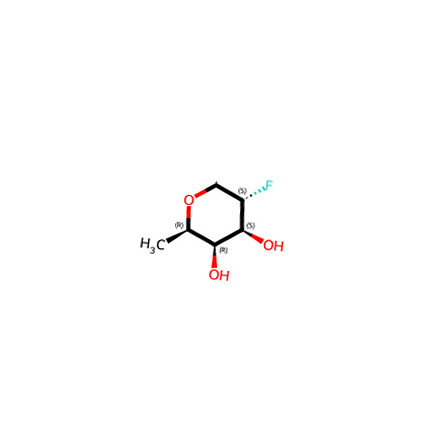 C[C@H]1O[CH][C@H](F)[C@@H](O)[C@H]1O